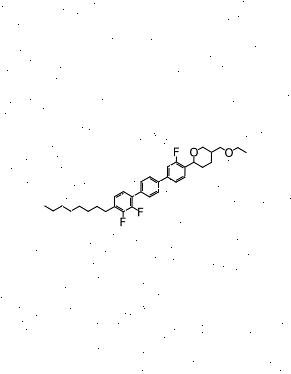 CCCCCCCCc1ccc(-c2ccc(-c3ccc(C4CCC(COCC)CO4)c(F)c3)cc2)c(F)c1F